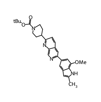 COc1cc(-c2cc3ccc(C4CCN(C(=O)OC(C)(C)C)CC4)nc3cn2)cc2cc(C)[nH]c12